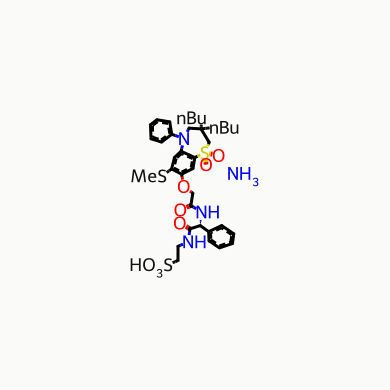 CCCCC1(CCCC)CN(c2ccccc2)c2cc(SC)c(OCC(=O)N[C@@H](C(=O)NCCS(=O)(=O)O)c3ccccc3)cc2S(=O)(=O)C1.N